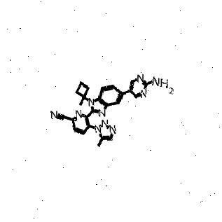 Cc1cnnn1-c1ccc(C#N)nc1-c1nc2cc(-c3cnc(N)nc3)ccc2n1C1(C)CCC1